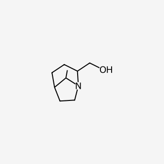 CC1C2CCC(CO)N1CC2